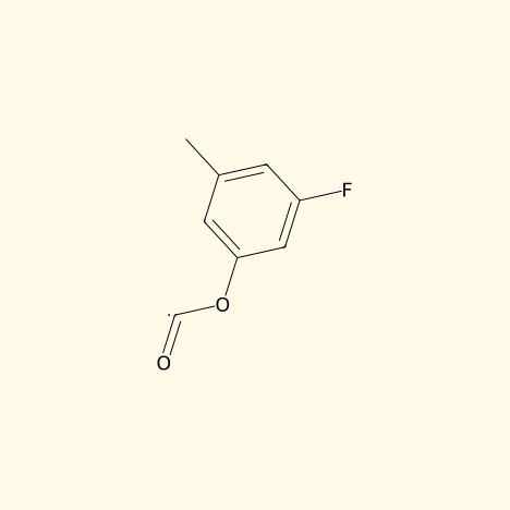 Cc1cc(F)cc(O[C]=O)c1